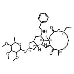 CC[C@H]1CCCC[C@@H](C)C(=O)C2=CC3[C@@H]4C[C@H](OC5OC(C)C(OC)C(OC)C5OC)CC4CC(NCc4ccccc4)[C@H]3[C@@H]2CC(=O)O1